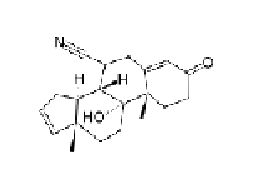 C[C@@]12C=CC[C@H]1[C@@H]1C(C#N)CC3=CC(=O)CC[C@]3(C)[C@@]1(O)CC2